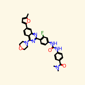 Cc1ccc(-c2ccc3c(N4CCOCC4)nc(-c4ccc(NC(=O)Nc5ccc(C(=O)N(C)C)cc5)cc4F)nc3c2)o1